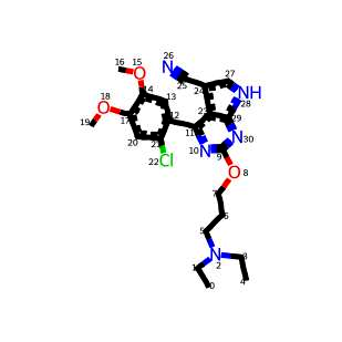 CCN(CC)CCCOc1nc(-c2cc(OC)c(OC)cc2Cl)c2c(C#N)c[nH]c2n1